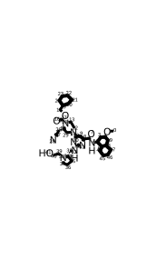 COc1cc(NC(=O)c2cc(N3CCN(C(=O)OCc4ccccc4)[C@@H](CC#N)C3)nc(NC[C@@H]3CCCN3CCO)n2)c2ccccc2c1